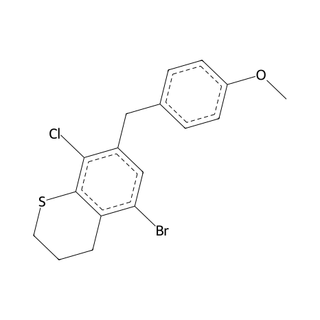 COc1ccc(Cc2cc(Br)c3c(c2Cl)SCCC3)cc1